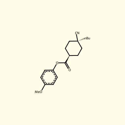 CCCC[C@]1(C#N)CC[C@@H](C(=O)Oc2ccc(OC)cc2)CC1